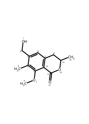 COc1c(C)c(CO)cc2c1C(=O)OC(C)C2